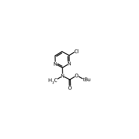 CN(C(=O)OC(C)(C)C)c1nccc(Cl)n1